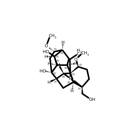 CCN1C[C@]2(CO)CC[C@H](OC)[C@@]34[C@@H]5C[C@H]6[C@H](O)[C@@H]5[C@](O)(C[C@@H]6OC)[C@@H](C[C@H]23)[C@@H]14